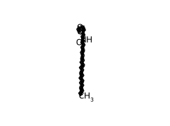 CCC=CCC=CCC=CCC=CCC=CCC=CCCC(=O)NCCN1CCOCC1